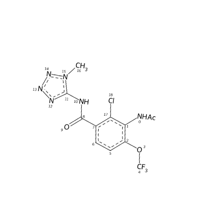 CC(=O)Nc1c(OC(F)(F)F)ccc(C(=O)Nc2nnnn2C)c1Cl